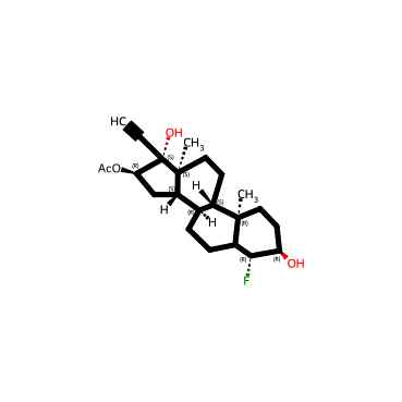 C#C[C@]1(O)[C@H](OC(C)=O)C[C@H]2[C@@H]3CCC4[C@@H](F)[C@H](O)CC[C@]4(C)[C@H]3CC[C@@]21C